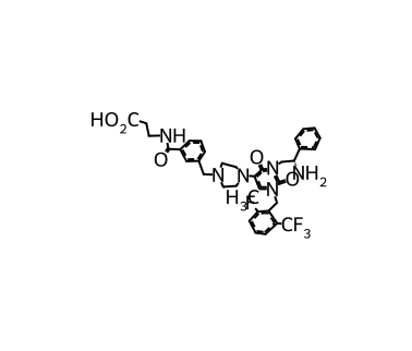 Cc1c(N2CCN(Cc3cccc(C(=O)NCCC(=O)O)c3)CC2)c(=O)n(C[C@@H](N)c2ccccc2)c(=O)n1Cc1c(F)cccc1C(F)(F)F